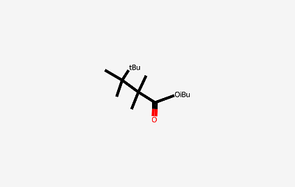 CC(C)COC(=O)C(C)(C)C(C)(C)C(C)(C)C